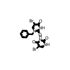 O=c1[nH]c(=O)n(Cc2ccccc2)cc1Br.O=c1[nH]cc(Br)c(=O)[nH]1